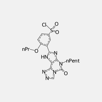 CCCCCn1c(=O)n2cnnc2c2[nH]c(-c3cc(S(=O)(=O)Cl)ccc3OCCC)nc21